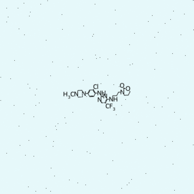 CN1CCN(c2ccc(Nc3ncc(C(F)(F)F)c(NCCCN4CCCOC4=O)n3)c(Cl)c2)CC1